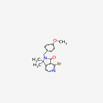 COc1ccc(CN2C(=O)c3c(ccnc3Br)C2(C)C)cc1